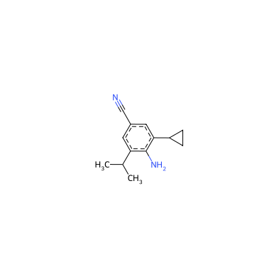 CC(C)c1cc(C#N)cc(C2CC2)c1N